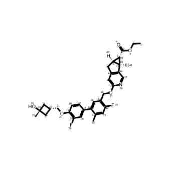 CCOC(=O)[C@H]1[C@@H]2Cc3cc(OCc4cc(-c5ccc(OC[C@H]6C[C@@](C)(O)C6)c(F)c5)c(C)cc4F)ncc3[C@@H]21